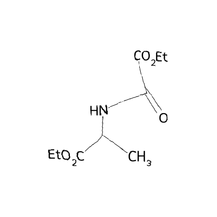 CCOC(=O)C(=O)NC(C)C(=O)OCC